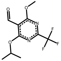 COc1nc(C(F)(F)F)nc(OC(C)C)c1C=O